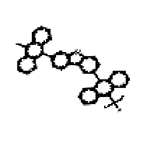 Cc1c2ccccc2c(-c2ccc3c(c2)oc2ccc(-c4c5ccccc5c(C(F)(F)F)c5ccccc45)cc23)c2ccccc12